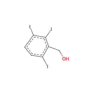 OCc1c(I)ccc(I)c1I